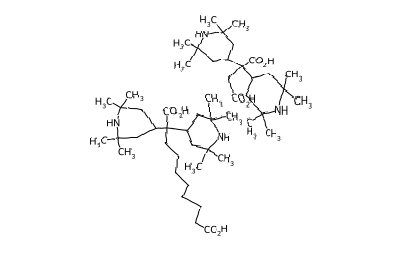 CC1(C)CC(C(CC(=O)O)(C(=O)O)C2CC(C)(C)NC(C)(C)C2)CC(C)(C)N1.CC1(C)CC(C(CCCCCCCC(=O)O)(C(=O)O)C2CC(C)(C)NC(C)(C)C2)CC(C)(C)N1